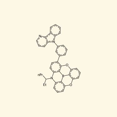 CCCC(CC)N1c2cccc3c2B2c4c(cccc4Oc4c(-c5cccc(-n6c7ccccc7c7ncccc76)c5)ccc1c42)O3